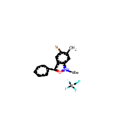 Cc1cc2c(cc1Br)c(-c1ccccc1)o[n+]2C(C)(C)C.F[B-](F)(F)F